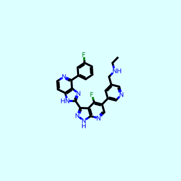 CCNCc1cncc(-c2cnc3[nH]nc(-c4nc5c(-c6cccc(F)c6)nccc5[nH]4)c3c2F)c1